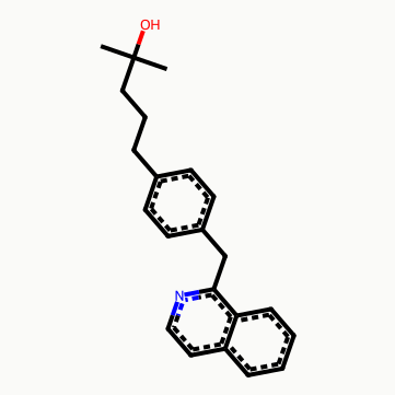 CC(C)(O)CCCc1ccc(Cc2nccc3ccccc23)cc1